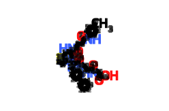 Cc1ccc(NC(=O)CCC(=O)N[C@H](Cc2cccs2)C(=O)N[C@@H](Cc2ccc(-c3ccccc3)cc2)C(=O)NCCC(=O)NCC(=O)O)cc1